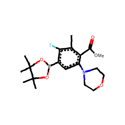 COC(=O)c1c(N2CCOCC2)cc(B2OC(C)(C)C(C)(C)O2)c(F)c1C